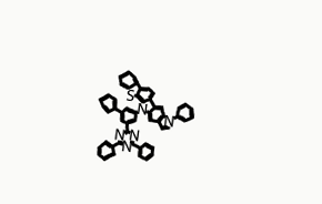 c1ccc(-c2cc(-c3nc(-c4ccccc4)nc(-c4ccccc4)n3)cc(-n3c4cc5ccn(-c6ccccc6)c5cc4c4ccc5c6ccccc6sc5c43)c2)cc1